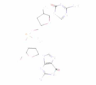 CC(=O)OC1[C@@H](O)[C@@H](COP(=O)(O)O[C@@H]2[C@H](OC(C)=O)[C@H](n3cnc4c(=O)[nH]c(N)nc43)O[C@@H]2CO)O[C@H]1n1cnc(N)nc1=O